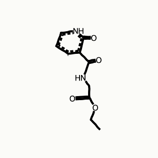 CCOC(=O)CNC(=O)c1[c]cc[nH]c1=O